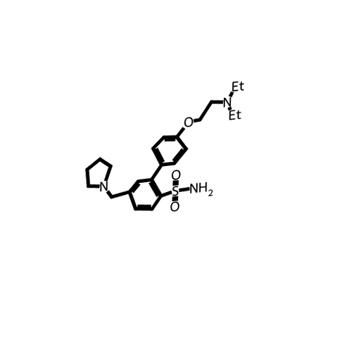 CCN(CC)CCOc1ccc(-c2cc(CN3CCCC3)ccc2S(N)(=O)=O)cc1